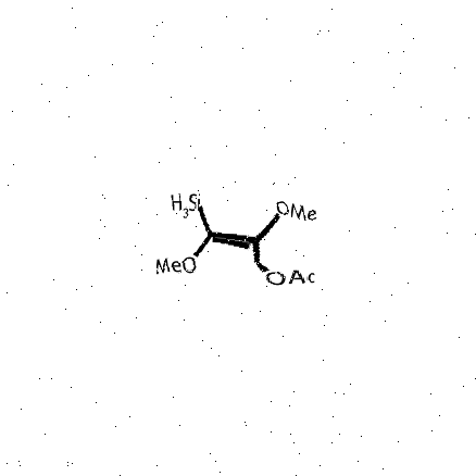 COC([SiH3])=C(OC)OC(C)=O